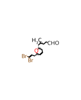 C[C@@H](CCC=O)C[C@@H]1CC=C[C@@H](CC=C(Br)Br)O1